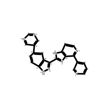 c1cncc(-c2nccc3[nH]c(-c4n[nH]c5ccc(-c6cncnc6)cc45)nc23)c1